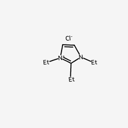 CCc1n(CC)cc[n+]1CC.[Cl-]